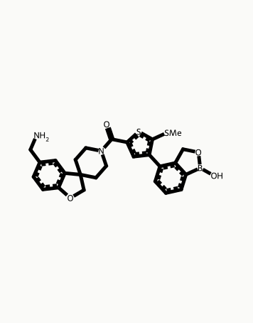 CSc1sc(C(=O)N2CCC3(CC2)COc2ccc(CN)cc23)cc1-c1cccc2c1COB2O